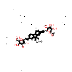 CC(=O)OCC1(COC(C)=O)c2cc(C#C[C@H]3O[C@H](CO)[C@@H](O)[C@H](O)[C@@H]3O)ccc2-c2ccc(CC[C@H]3O[C@H](CO)[C@@H](O)[C@H](O)[C@@H]3O)cc21